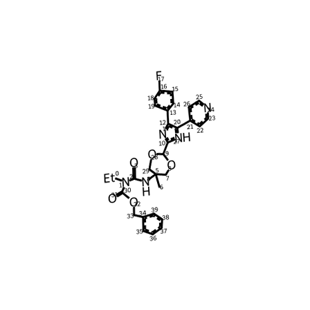 CCN(C(=O)NC1(C)COC(c2nc(-c3ccc(F)cc3)c(-c3ccncc3)[nH]2)OC1)C(=O)OCc1ccccc1